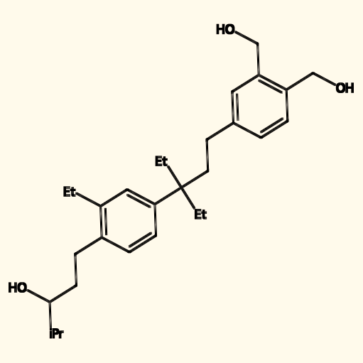 CCc1cc(C(CC)(CC)CCc2ccc(CO)c(CO)c2)ccc1CCC(O)C(C)C